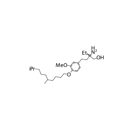 CC[C@@](N)(CO)CCc1ccc(OCCCCC(C)CCCC(C)C)c(OC)c1